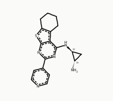 N[C@H]1C[C@@H]1Nc1nc(-c2ccncc2)nc2sc3c(c12)CCCC3